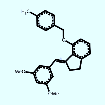 COc1cc(/C=C2\CCc3cccc(OCc4ccc(C)cc4)c32)cc(OC)c1